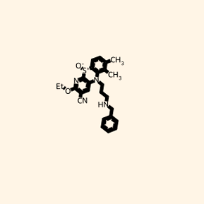 CCOc1nc2c(cc1C#N)N(CCCNCc1ccccc1)c1c(ccc(C)c1C)[S+]2[O-]